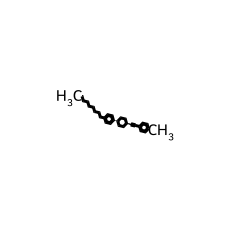 CCCCCCCCCc1ccc([C@H]2CC[C@H](C#Cc3ccc(C)cc3)CC2)cc1